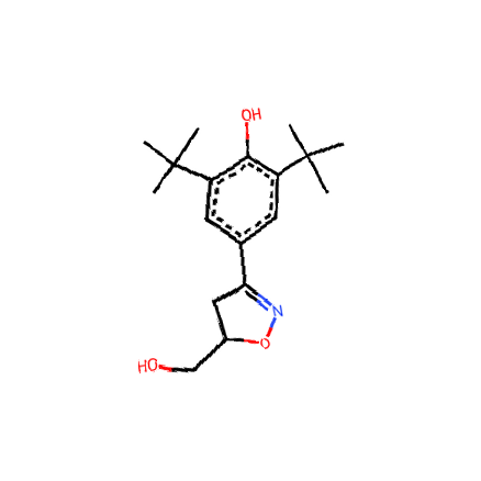 CC(C)(C)c1cc(C2=NOC(CO)C2)cc(C(C)(C)C)c1O